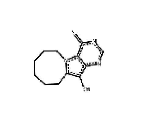 N#Cc1c2n(c3c(=S)[nH]cnc13)CCCCCC2